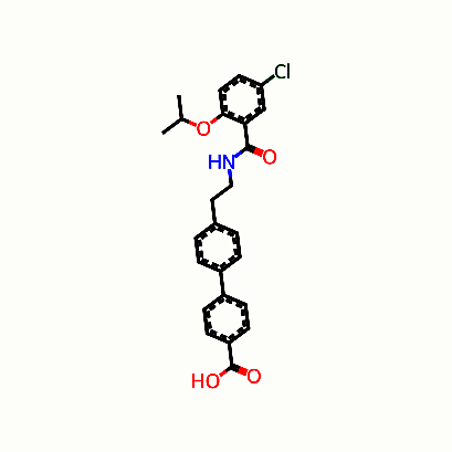 CC(C)Oc1ccc(Cl)cc1C(=O)NCCc1ccc(-c2ccc(C(=O)O)cc2)cc1